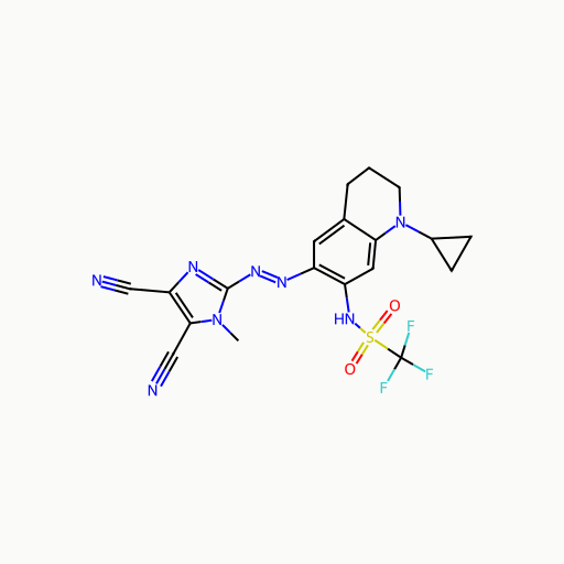 Cn1c(N=Nc2cc3c(cc2NS(=O)(=O)C(F)(F)F)N(C2CC2)CCC3)nc(C#N)c1C#N